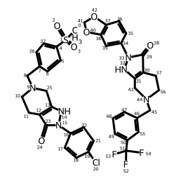 CS(=O)(=O)c1ccc(CN2CCc3c([nH]n(-c4ccc(Cl)cc4)c3=O)C2)cc1.O=c1c2c([nH]n1-c1ccc3c(c1)OCO3)CN(Cc1cccc(C(F)(F)F)c1)CC2